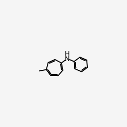 CC1=C=CC=C(Nc2ccccc2)C=C1